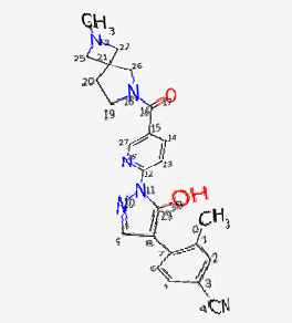 Cc1cc(C#N)ccc1-c1cnn(-c2ccc(C(=O)N3CCC4(CN(C)C4)C3)cn2)c1O